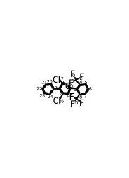 FC(F)(F)c1c[c]cc(C(F)(F)F)c1-c1cc(Cl)c(-c2ccccc2)c(Cl)c1